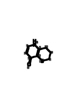 O=c1cc[nH]c2c1SCCC2